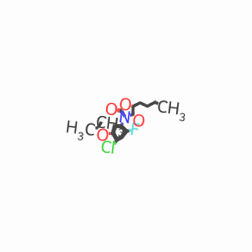 CCCCC1OC(=O)N(c2cc(OC(C)C)c(Cl)cc2F)C1=O